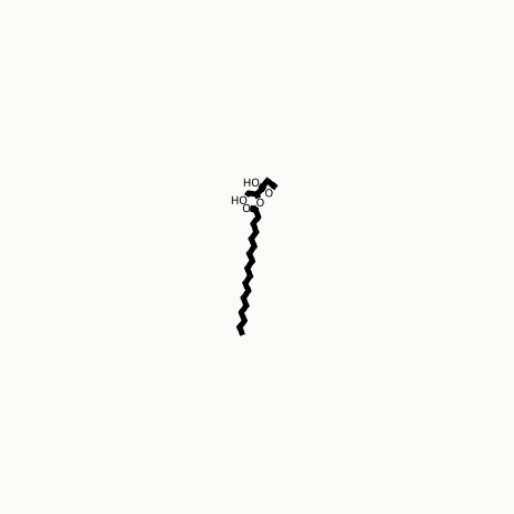 CCCCCCCCCCCCCCCCCC(=O)OC(CO)C1(O)CCO1